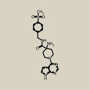 CS(=O)(=O)c1ccc(CNC(=O)C2(N)CCN(c3ncnc4[nH]ccc34)CC2)cc1